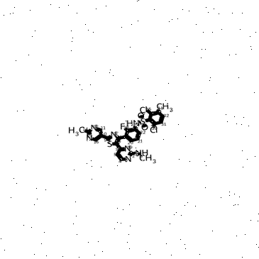 CNc1nccc(-c2sc(-c3cnc(C)nc3)nc2-c2cccc(NS(=O)(=O)c3c(Cl)ccc(C)c3Cl)c2F)n1